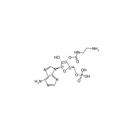 NCCNC(=O)O[C@H]1[C@@H](O)[C@H](n2cnc3c(N)ncnc32)O[C@@H]1COP(=O)(O)O